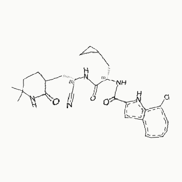 CC1(C)CCC(C[C@@H](C#N)NC(=O)[C@H](CC2CC2)NC(=O)c2cc3cccc(Cl)c3[nH]2)C(=O)N1